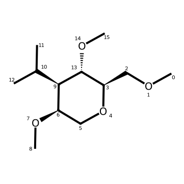 COC[C@H]1OC[C@@H](OC)[C@@H](C(C)C)[C@@H]1OC